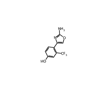 Nc1nc(-c2ccc(O)cc2C(F)(F)F)co1